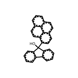 OC1(c2ccc3ccc4cccc5ccc2c3c45)c2ccccc2-c2ccccc21